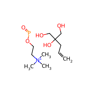 C=CCC(O)(CO)CO.C[N+](C)(C)CCOP=O